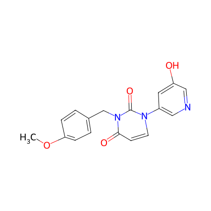 COc1ccc(Cn2c(=O)ccn(-c3cncc(O)c3)c2=O)cc1